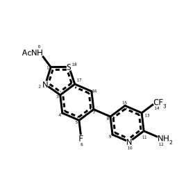 CC(=O)Nc1nc2cc(F)c(-c3cnc(N)c(C(F)(F)F)c3)cc2s1